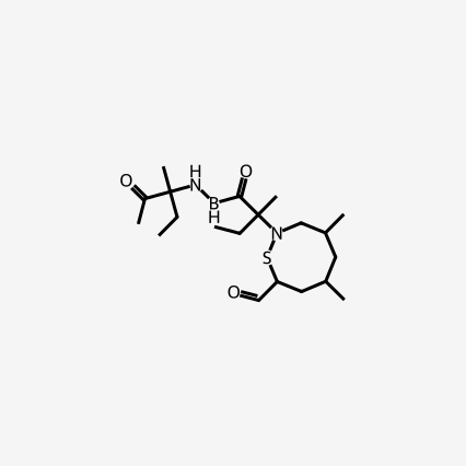 CCC(C)(NBC(=O)C(C)(CC)N1CC(C)CC(C)CC(C=O)S1)C(C)=O